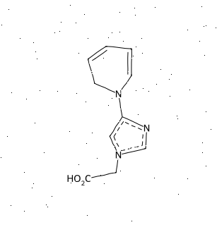 O=C(O)Cn1cnc(N2C=CC=CC2)c1